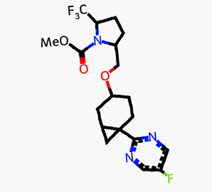 COC(=O)N1C(COC2CCC3(c4ncc(F)cn4)CC3C2)CCC1C(F)(F)F